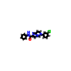 O=C(Nc1ccccc1)C1=C[N+]2CN(c3cccc(Cl)c3)C=CC2=N1